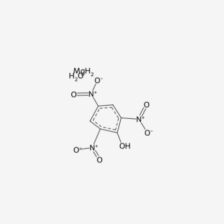 O.O=[N+]([O-])c1cc([N+](=O)[O-])c(O)c([N+](=O)[O-])c1.[MgH2]